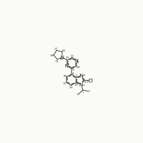 CC(C)n1c(Cl)nc2c(-c3cncc(N4CCCC4)n3)cccc21